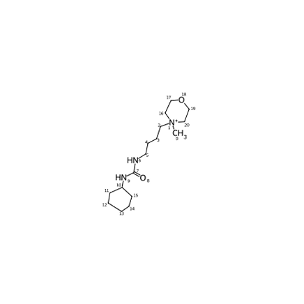 C[N+]1(CCCCNC(=O)NC2CCCCC2)CCOCC1